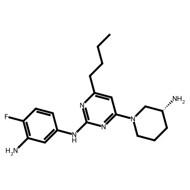 CCCCc1cc(N2CCC[C@@H](N)C2)nc(Nc2ccc(F)c(N)c2)n1